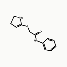 O=C(CSC1=NCCN1)Nc1ccccc1